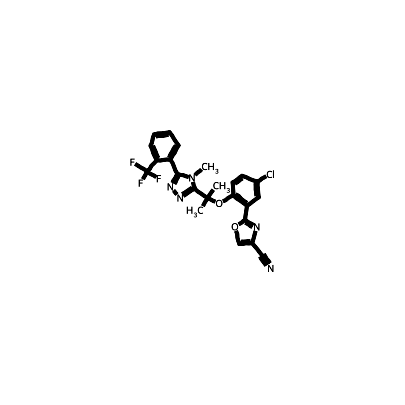 Cn1c(-c2ccccc2C(F)(F)F)nnc1C(C)(C)Oc1ccc(Cl)cc1-c1nc(C#N)co1